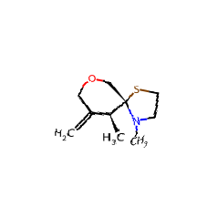 C=C1COC[C@]2(SCCN2C)[C@H]1C